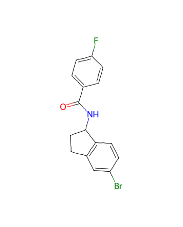 O=C(NC1CCc2cc(Br)ccc21)c1ccc(F)cc1